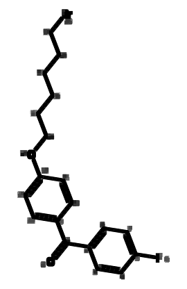 O=C(c1ccc(F)cc1)c1ccc(OCCCCCCBr)cc1